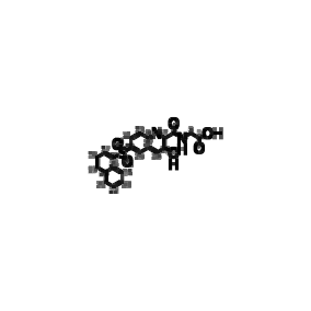 O=C(O)CNC(=O)c1nc2ccc(S(=O)(=O)c3cccc4ccccc34)cc2cc1O